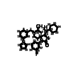 C[C@H]1C[C@]2(CCN1Cc1cccc(-n3cccc3)c1)C(NC1CCCCC1)=NC(=O)N2c1cccc(F)c1